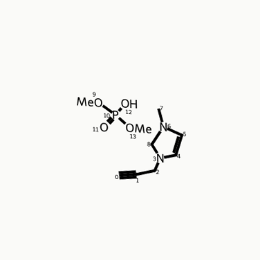 C#CCN1C=CN(C)C1.COP(=O)(O)OC